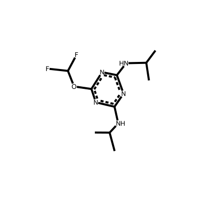 CC(C)Nc1nc(NC(C)C)nc(OC(F)F)n1